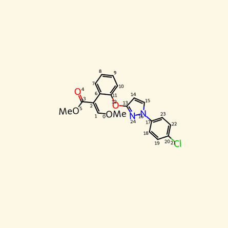 CO/C=C(/C(=O)OC)c1ccccc1Oc1ccn(-c2ccc(Cl)cc2)n1